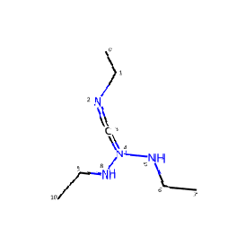 CCN=C=[N+](NCC)NCC